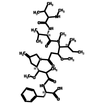 C=C1C[C@@H](C(OC)C(C)C(=O)N[C@@H](Cc2ccccc2)C(=O)O)N(C(=O)CC(OC)C([C@@H](C)CC)N(C)C(=O)[C@@H](NC(=O)C(NC)C(C)C)C(C)C)C1